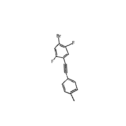 Cc1ccc(C#Cc2cc(F)c(Br)cc2F)cc1